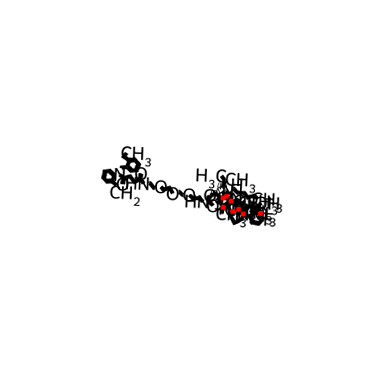 C=Cc1ccccc1N(Cc1ccccc1CC)C(=O)CCC(=O)NCCOCCOCCOCCNC(O)O[C@H](C[C@H](C(C)C)N(CCCCCC)C(=O)[C@@H](NC(=O)[C@H]1CCCCN1C)[C@@H](C)CC)c1nc(C(=O)N[C@@H](Cc2ccc(F)cc2)CC(C)(C)C(=O)O)cs1